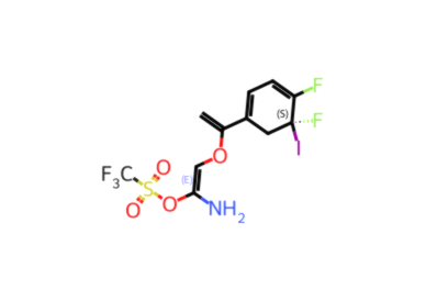 C=C(O/C=C(\N)OS(=O)(=O)C(F)(F)F)C1=CC=C(F)[C@@](F)(I)C1